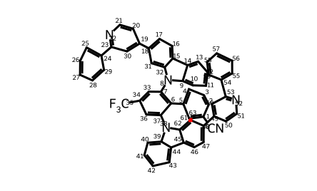 N#Cc1cccc(-c2c(-n3c4ccccc4c4ccc(-c5ccnc(-c6ccccc6)c5)cc43)cc(C(F)(F)F)cc2-n2c3ccccc3c3ccc(-c4ccnc(-c5ccccc5)c4)cc32)c1